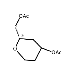 CC(=O)OC[C@@H]1CC(OC(C)=O)CCO1